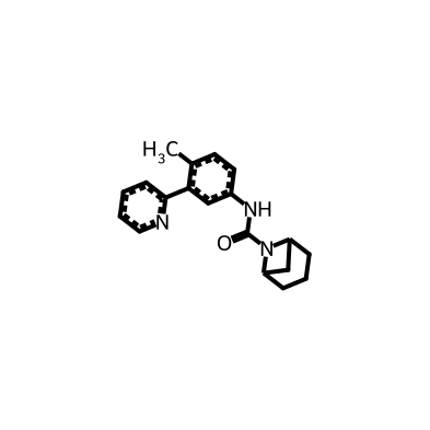 Cc1ccc(NC(=O)N2C3CCCC2C3)cc1-c1ccccn1